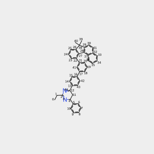 CCC1=NC(c2ccccc2)CC(c2ccc(-c3cccc(-c4cccc5c4-c4c(ccc6ccccc46)C5(C)C)c3)cc2)=N1